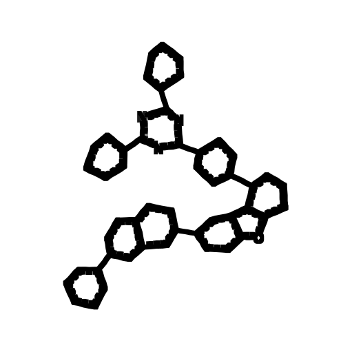 c1ccc(-c2ccc3ccc(-c4ccc5oc6cccc(-c7ccc(-c8nc(-c9ccccc9)nc(-c9ccccc9)n8)cc7)c6c5c4)cc3c2)cc1